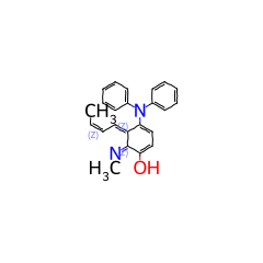 C\C=C/C=C1/C(N(c2ccccc2)c2ccccc2)=CC=C(O)/C1=N\C